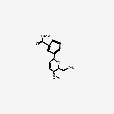 COC(=O)c1cccc(C2C=CC(OC(C)=O)C(COC(C)=O)O2)c1